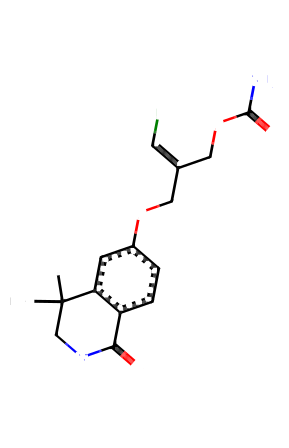 CC1(C)CNC(=O)c2ccc(OCC(=CF)COC(N)=O)cc21